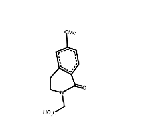 COc1ccc2c(c1)CCN(CC(=O)O)C2=O